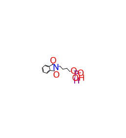 O=C1c2ccccc2C(=O)N1CCCCO[PH](=O)O